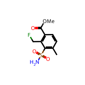 COC(=O)c1ccc(C)c(S(N)(=O)=O)c1CF